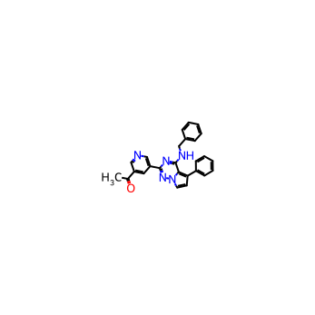 CC(=O)c1cncc(-c2nc(NCc3ccccc3)c3c(-c4ccccc4)ccn3n2)c1